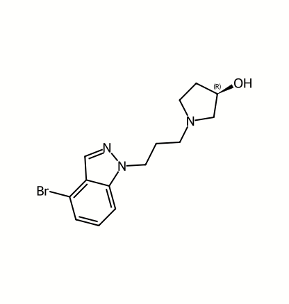 O[C@@H]1CCN(CCCn2ncc3c(Br)cccc32)C1